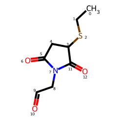 CCSC1CC(=O)N(CC=O)C1=O